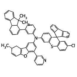 CC1C=Cc2oc3c(-c4cccnc4)cc(N(c4cccc(C5=CC=CC6c7ccccc7C(C)(C)C56)c4)c4ccc5c(c4)Sc4ccc(Cl)cc4C54c5c#cccc5-c5ccccc54)cc3c2C1